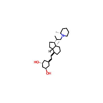 CC(CN1CCCC[C@H]1C)[C@H]1CC[C@H]2/C(=C/C=C3C[C@@H](O)C[C@H](O)C3)CCC[C@]12C